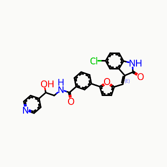 O=C1Nc2ccc(Cl)cc2/C1=C\c1ccc(-c2cccc(C(=O)NCC(O)c3ccncc3)c2)o1